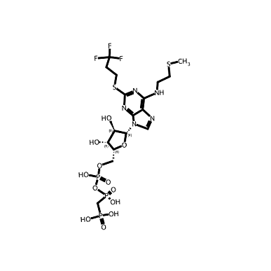 CSCCNc1nc(SCCC(F)(F)F)nc2c1ncn2[C@@H]1O[C@H](COP(=O)(O)OP(=O)(O)CP(=O)(O)O)[C@H](O)[C@H]1O